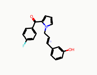 O=C(c1ccc(F)cc1)c1cccn1C/C=C/c1cccc(O)c1